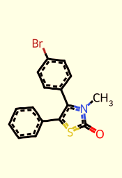 Cn1c(-c2ccc(Br)cc2)c(-c2ccccc2)sc1=O